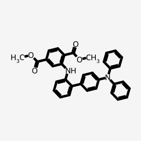 COC(=O)c1ccc(C(=O)OC)c(Nc2ccccc2-c2ccc(N(c3ccccc3)c3ccccc3)cc2)c1